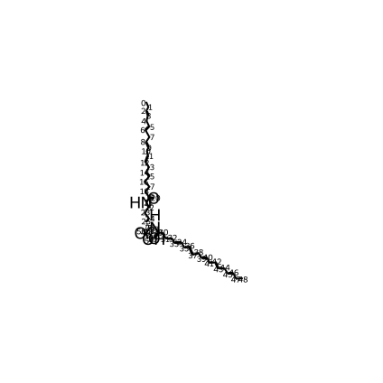 CCC=CCC=CCC=CCC=CCC=CCCCC(=O)NCCCC[C@H](NC(=O)CCCC=CCC=CCC=CCC=CCC=CCC)C(=O)O